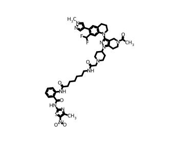 CC(=O)N1CCc2c(c(N3CCCc4cc(-c5cnn(C)c5)c(C(F)F)cc43)nn2C2CCN(CC(=O)NCCCCCCC(=O)Nc3ccccc3C(=O)Nc3nc(C)c([N+](=O)[O-])s3)CC2)C1